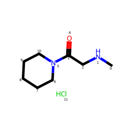 CNCC(=O)N1CCCCC1.Cl